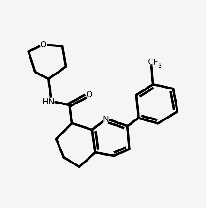 O=C(NC1CCOCC1)C1CCCc2ccc(-c3cccc(C(F)(F)F)c3)nc21